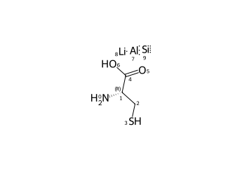 N[C@@H](CS)C(=O)O.[Al].[Li].[Si]